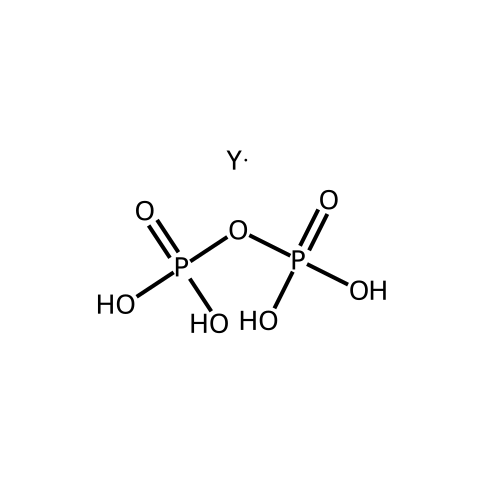 O=P(O)(O)OP(=O)(O)O.[Y]